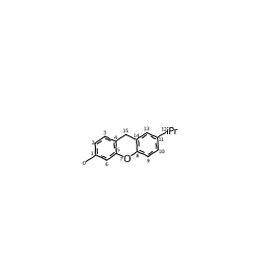 Cc1ccc2c(c1)Oc1ccc(C(C)C)cc1C2